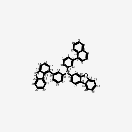 c1cc(-c2cccc3ccccc23)cc(N(c2cccc(-c3cccc4sc5ccccc5c34)c2)c2ccc3c(c2)oc2ccccc23)c1